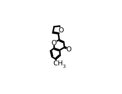 Cc1ccc2oc(C3=CCCO3)cc(=O)c2c1